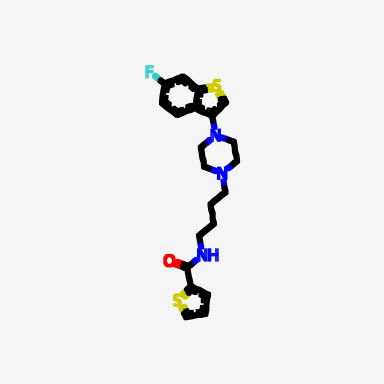 O=C(NCCCCN1CCN(c2csc3cc(F)ccc23)CC1)c1cccs1